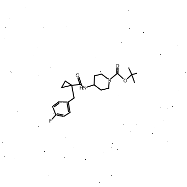 CC(C)(C)OC(=O)N1CCC(NC(=O)C2(Cc3ccc(F)cc3)CC2)CC1